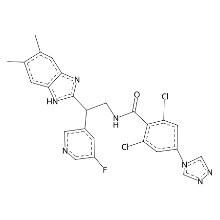 Cc1cc2nc(C(CNC(=O)c3c(Cl)cc(-n4cnnc4)cc3Cl)c3cncc(F)c3)[nH]c2cc1C